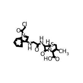 CC1=C(C(=O)O)N2C(=O)C(NC(=O)CNc3cn(C(=O)CCl)c4ccccc34)[C@@H]2SC1